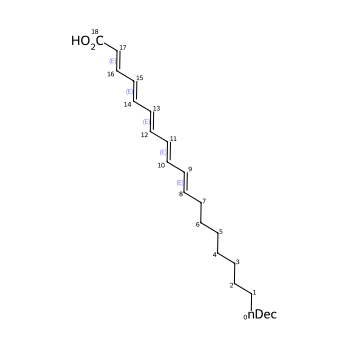 CCCCCCCCCCCCCCCCC/C=C/C=C/C=C/C=C/C=C/C(=O)O